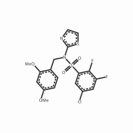 COc1ccc(CN(c2nccs2)S(=O)(=O)c2cc(Cl)cc(F)c2F)c(OC)c1